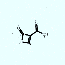 O=C(O)C1=COC1=O